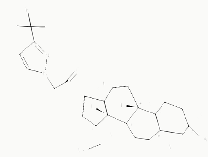 CC[C@@H]1C[C@H](C(=O)Cn2ccc(C(F)(F)F)n2)[C@@]2(C)CC[C@H]3[C@@H](CC[C@@H]4C[C@](C)(O)CC[C@@H]43)[C@H]12